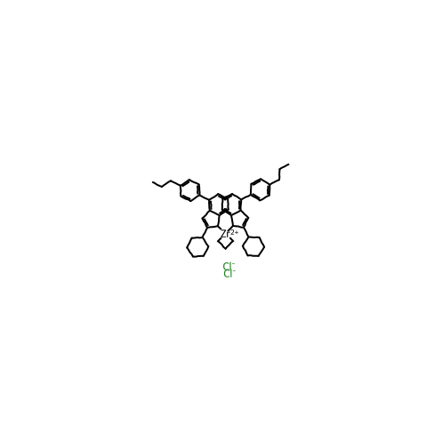 CCCc1ccc(-c2cccc3c2C=C(C2CCCCC2)[CH]3[Zr+2]2([CH]3C(C4CCCCC4)=Cc4c(-c5ccc(CCC)cc5)cccc43)[CH2]C[CH2]2)cc1.[Cl-].[Cl-]